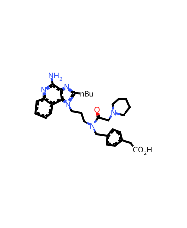 CCCCc1nc2c(N)nc3ccccc3c2n1CCCN(Cc1ccc(CC(=O)O)cc1)C(=O)CN1CCCCC1